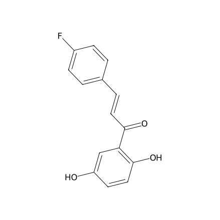 O=C(C=Cc1ccc(F)cc1)c1cc(O)ccc1O